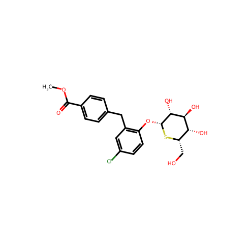 COC(=O)c1ccc(Cc2cc(Cl)ccc2O[C@H]2S[C@@H](CO)[C@@H](O)[C@H](O)[C@H]2O)cc1